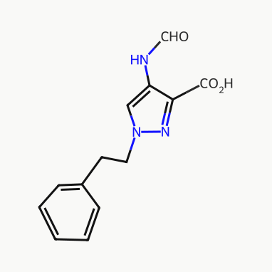 O=CNc1cn(CCc2ccccc2)nc1C(=O)O